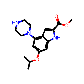 COC(=O)c1cc2c(N3CCNCC3)cc(OC(C)C)cc2[nH]1